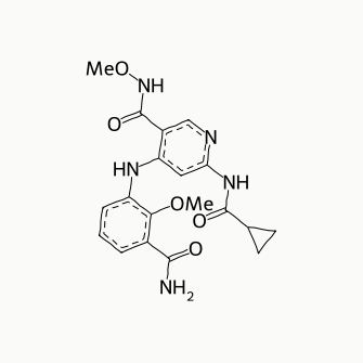 CONC(=O)c1cnc(NC(=O)C2CC2)cc1Nc1cccc(C(N)=O)c1OC